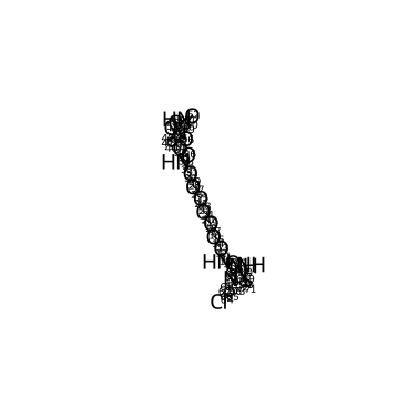 CC(=N)N1C(=N)[C@H](CC(=O)NCCOCCOCCOCCOCCOCCOCCOCCNC(=O)COc2cccc3c2C(=O)N(C2CCC(=O)NC2=O)C3=O)N=C(c2ccc(Cl)cc2)c2c1sc(C)c2C